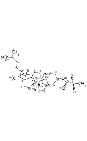 CC(C)CCC[C@@H](C)[C@H]1CC[C@H]2[C@@H]3CC=C4CC(OC(=O)C(C)(F)F)CC[C@]4(C)[C@H]3CC[C@]12C